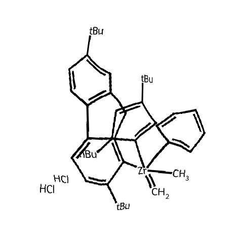 Cl.Cl.[CH2]=[Zr]([CH3])([C]1=CC(C(C)(C)C)=CC1CCCC)([c]1ccccc1)[c]1c(C(C)(C)C)ccc2c1Cc1cc(C(C)(C)C)ccc1-2